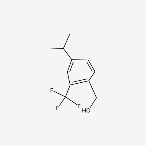 CC(C)c1ccc(CO)c(C(F)(F)F)c1